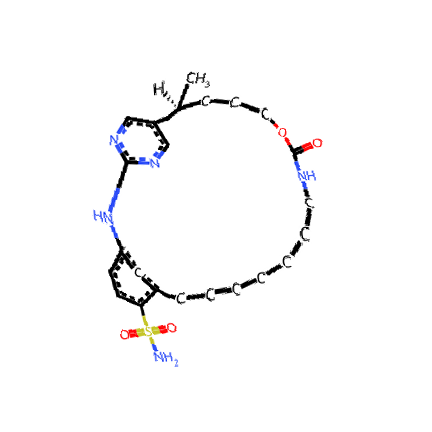 C[C@H]1CCCOC(=O)NCCCCCCCc2cc(ccc2S(N)(=O)=O)Nc2ncc1cn2